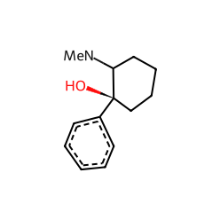 CNC1CCCC[C@]1(O)c1ccccc1